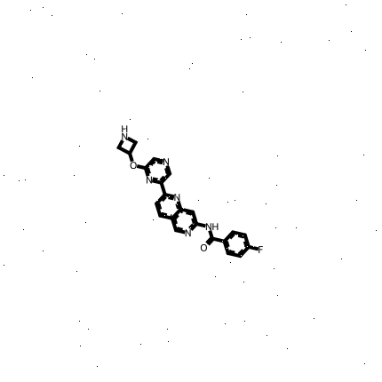 O=C(Nc1cc2nc(-c3cncc(OC4CNC4)n3)ccc2cn1)c1ccc(F)cc1